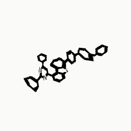 c1ccc(-c2ccc(-c3ccc(-c4cccc5c4sc4cccc(-c6cc(-c7ccccc7)nc(-c7ccccc7)n6)c45)cc3)cc2)cc1